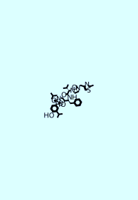 Cc1nc(CN2CCN([C@H](C(=O)N[C@@H](Cc3ccccc3)[C@H](O)CN(CC(C)C)S(=O)(=O)c3ccc(O)c(C(C)C)c3)C(C)C)O2)cs1